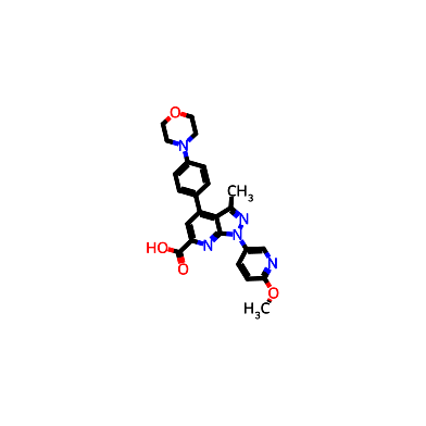 COc1ccc(-n2nc(C)c3c(-c4ccc(N5CCOCC5)cc4)cc(C(=O)O)nc32)cn1